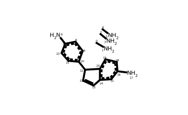 CN.CN.CN.Nc1ccc(C2C=Cc3cc(N)ccc32)cc1